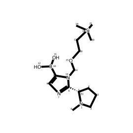 CN1CCC[C@H]1c1ncc(B(O)O)n1COCC[Si](C)(C)C